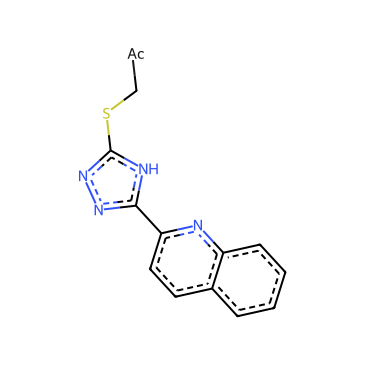 CC(=O)CSc1nnc(-c2ccc3ccccc3n2)[nH]1